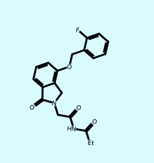 CCC(=O)NC(=O)CN1Cc2c(OCc3ccccc3F)cccc2C1=O